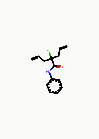 C=CCC(Cl)(CC=C)C(=O)Nc1ccccc1